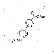 COC(=O)c1ccc(-c2cnc(NN)nn2)cc1